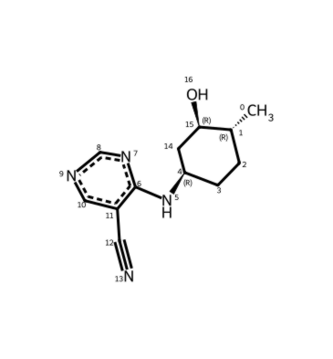 C[C@@H]1CC[C@@H](Nc2ncncc2C#N)C[C@H]1O